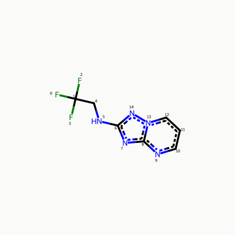 FC(F)(F)CNc1nc2ncccn2n1